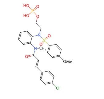 COc1ccc(S(=O)(=O)N(CCOP(=O)(O)O)c2ccccc2N(C)C(=O)/C=C/c2ccc(Cl)cc2)cc1